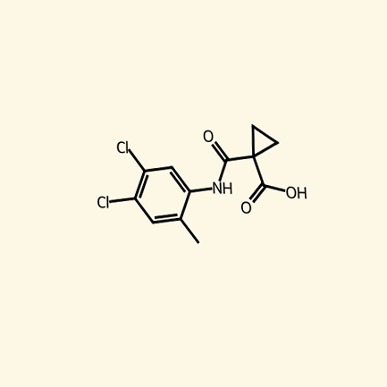 Cc1cc(Cl)c(Cl)cc1NC(=O)C1(C(=O)O)CC1